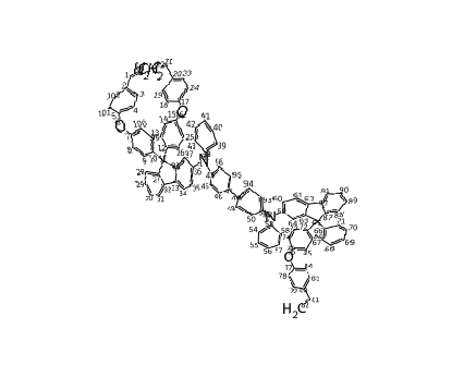 C=CC1=CC=C(Oc2ccc(C3(c4ccc(Oc5ccc(C=C)cc5)cc4)c4ccccc4-c4ccc(N(c5ccccc5)c5ccc(-c6ccc(N(c7ccccc7)c7ccc8c(c7)C(c7ccccc7)(c7ccc(Oc9ccc(C=C)cc9)cc7)c7ccccc7-8)cc6)cc5)cc43)cc2)CC1